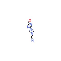 N#CCCN1CCN(c2cnc(C=O)cn2)CC1